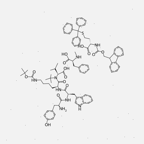 CC(C)[C@@H](C(=O)O)N(C(=O)[C@H](CCCCNC(=O)OC(C)(C)C)NC(=O)[C@@H](Cc1c[nH]c2ccccc12)NC(=O)[C@@H](N)Cc1ccc(O)cc1)C(C)(C)C.CN[C@@H](Cc1ccccc1)C(=O)O.O=C(N[C@@H](CCSC(c1ccccc1)(c1ccccc1)c1ccccc1)C(=O)O)OCC1c2ccccc2-c2ccccc21